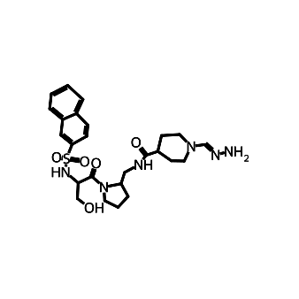 NN=CN1CCC(C(=O)NCC2CCCN2C(=O)C(CO)NS(=O)(=O)c2ccc3ccccc3c2)CC1